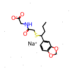 CCCC(SCC(=O)NCC(=O)[O-])c1ccc2c(c1)OCO2.[Na+]